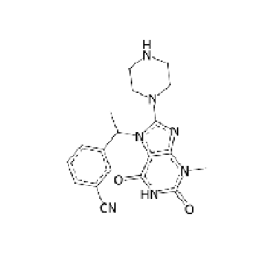 CC(c1cccc(C#N)c1)n1c(N2CCNCC2)nc2c1c(=O)[nH]c(=O)n2C